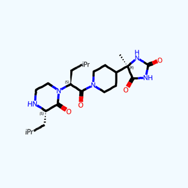 CC(C)C[C@@H]1NCCN([C@@H](CC(C)C)C(=O)N2CCC([C@@]3(C)NC(=O)NC3=O)CC2)C1=O